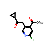 COC(=O)c1cc(Cl)ncc1CC(=O)C1CC1